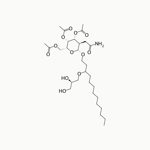 CCCCCCCCCCC(CCO[C@@H]1O[C@H](COC(C)=O)[C@H](OC(C)=O)[C@H](OC(C)=O)[C@H]1CC(N)=O)OC[C@H](O)CO